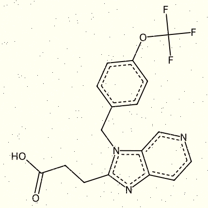 O=C(O)CCc1nc2ccncc2n1Cc1ccc(OC(F)(F)F)cc1